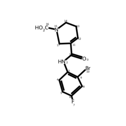 O=C(Nc1ccc(F)cc1Br)C1=CCCN(C(=O)O)C1